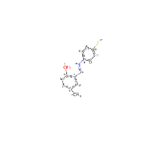 Cc1ccc(O)c(/C=N/c2ccc(F)cc2)c1